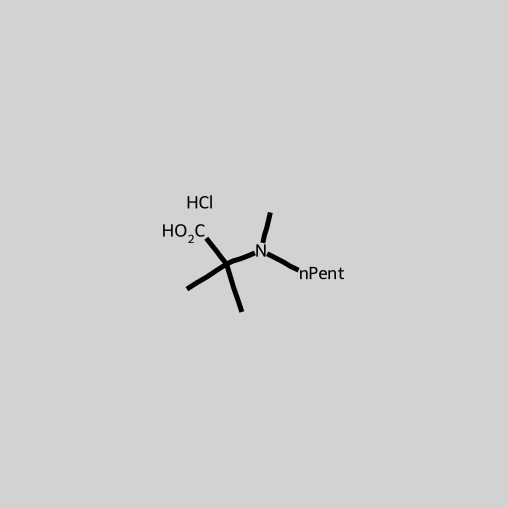 CCCCCN(C)C(C)(C)C(=O)O.Cl